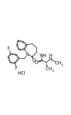 CN[C@@H](C)C(=O)N[C@H]1CCc2ccccc2N(Cc2cc(F)ccc2F)C1=O.Cl